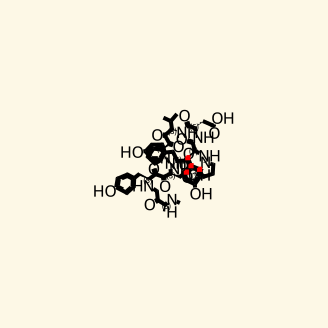 CN[C@@H](C)C(=O)CN[C@@H](Cc1ccc(O)cc1)C(=O)C(=O)[C@H](CC(=O)O)NN1CCC[C@H]1C(=O)C(=O)[C@@H](NC(=O)[C@H](CC(=O)O)NC(=O)[C@H](Cc1ccc(O)cc1)NN1CCC[C@H]1C(=O)C(=O)[C@@H](N)Cc1ccc(O)cc1)C(C)C